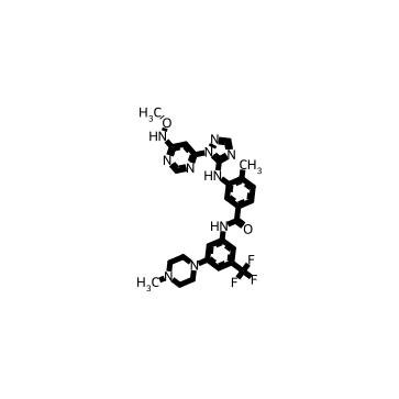 CONc1cc(-n2ncnc2Nc2cc(C(=O)Nc3cc(N4CCN(C)CC4)cc(C(F)(F)F)c3)ccc2C)ncn1